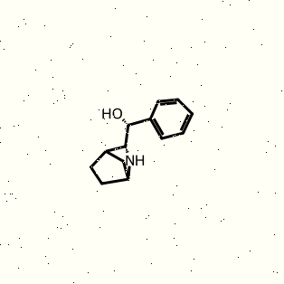 O[C@H](c1ccccc1)[C@@H]1NC2CCC1C2